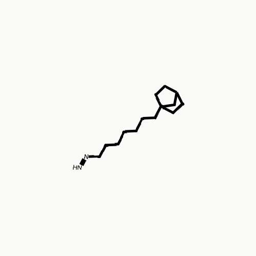 N=NCCCCCCCC12CCC(CC1)C2